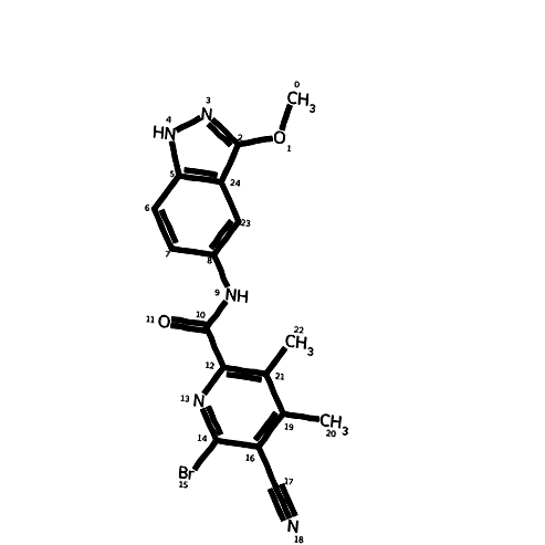 COc1n[nH]c2ccc(NC(=O)c3nc(Br)c(C#N)c(C)c3C)cc12